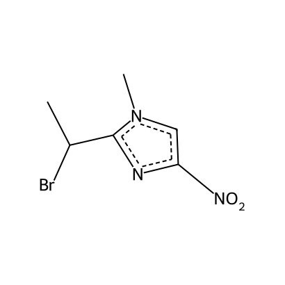 CC(Br)c1nc([N+](=O)[O-])cn1C